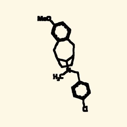 COc1ccc2c(c1)CC1CCC(C2)C1N(C)Cc1ccc(Cl)cc1